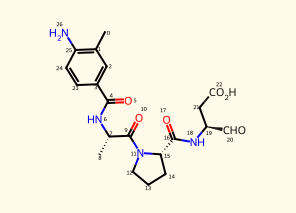 Cc1cc(C(=O)N[C@@H](C)C(=O)N2CCC[C@H]2C(=O)N[C@H](C=O)CC(=O)O)ccc1N